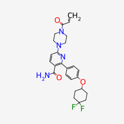 C=CC(=O)N1CCN(c2ccc(C(N)=O)c(-c3ccc(OC4CCC(F)(F)CC4)cc3)n2)CC1